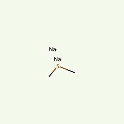 CSC.[Na].[Na]